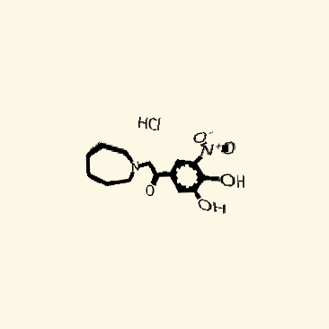 Cl.O=C(CN1CCCCCC1)c1cc(O)c(O)c([N+](=O)[O-])c1